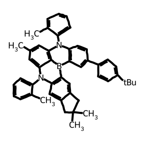 Cc1cc2c3c(c1)N(c1ccccc1C)c1cc4c(cc1B3c1cc(-c3ccc(C(C)(C)C)cc3)ccc1N2c1ccccc1C)CC(C)(C)C4